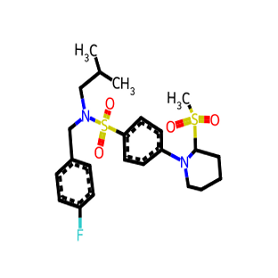 CC(C)CN(Cc1ccc(F)cc1)S(=O)(=O)c1ccc(N2CCCCC2S(C)(=O)=O)cc1